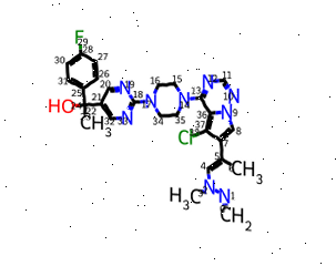 C=NN(C)/C=C(\C)c1cn2ncnc(N3CCN(c4ncc(C(C)(O)c5ccc(F)cc5)cn4)CC3)c2c1Cl